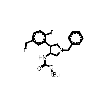 CC(C)(C)OC(=O)NC1CN(Cc2ccccc2)CC1c1cc(CF)ccc1F